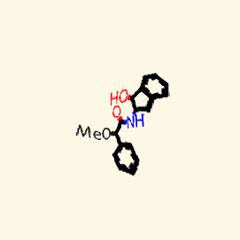 COC(C(=O)NC1Cc2ccccc2C1O)c1ccccc1